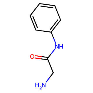 NCC(=O)Nc1[c]cccc1